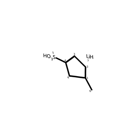 CC1CCC(S(=O)(=O)O)C1.[LiH]